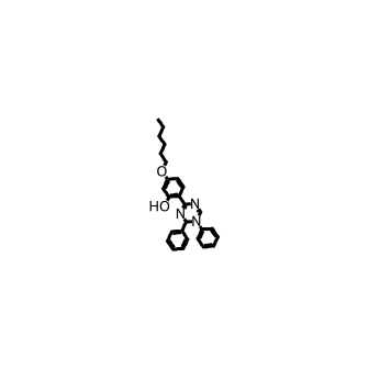 CCCCCCOc1ccc(C2=NC(c3ccccc3)N(c3ccccc3)C=N2)c(O)c1